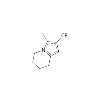 Cc1c(C(F)(F)F)cc2n1CCCC2